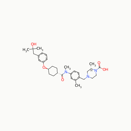 Cc1cc(N(C)C(=O)[C@H]2CC[C@H](Oc3cccc(CC(C)(C)O)c3)CC2)ccc1CN1CCN(C(=O)O)[C@@H](C)C1